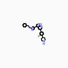 Fc1cc(-c2cnc3[nH]cc(-c4cnn(CCc5ccccc5)c4)c3c2)ccc1C1CCNCC1